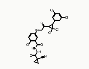 N#CC1(C(=O)NNC(=O)c2cc(NCC(=O)C3C(c4cc(Cl)cc(Cl)c4)C3(Cl)Cl)ccc2Cl)CC1